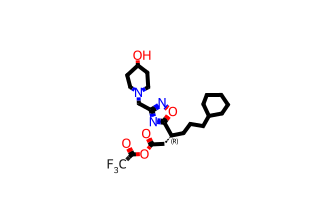 O=C(C[C@@H](CCCC1CCCCC1)c1nc(CN2CCC(O)CC2)no1)OC(=O)C(F)(F)F